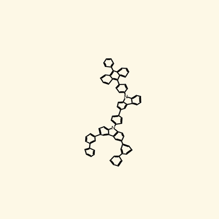 c1ccc(-c2cccc(-c3ccc4c(c3)c3cc(-c5cccc(-c6ccccc6)c5)ccc3n4-c3ccc(-c4ccc5c(c4)c4ccccc4n5-c4ccc(-c5c6ccccc6c(-c6ccccc6)c6ccccc56)cc4)cc3)c2)cc1